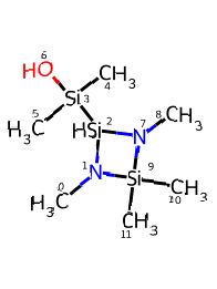 CN1[SiH]([Si](C)(C)O)N(C)[Si]1(C)C